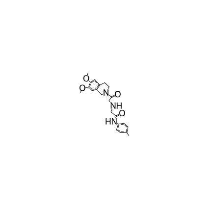 COc1cc2c(cc1OC)CN(C(=O)CNCC(=O)Nc1ccc(C)cc1)CC2